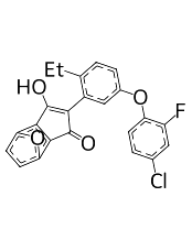 CCc1ccc(Oc2ccc(Cl)cc2F)cc1C1=C(O)c2c(c3ccc2o3)C1=O